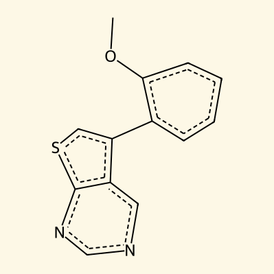 COc1ccccc1-c1csc2ncncc12